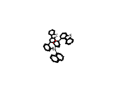 c1ccc(N(c2ccc(-c3cccc4sc5ccccc5c34)cc2)c2cccc3ccccc23)c(-c2ccc3sc4ccccc4c3c2)c1